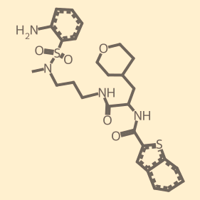 CN(CCCNC(=O)C(CC1CCOCC1)NC(=O)c1cc2ccccc2s1)S(=O)(=O)c1ccccc1N